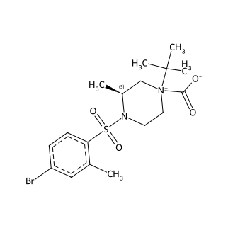 Cc1cc(Br)ccc1S(=O)(=O)N1CC[N+](C(=O)[O-])(C(C)(C)C)C[C@@H]1C